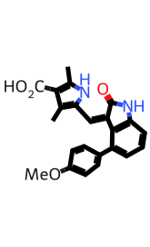 COc1ccc(-c2cccc3c2C(=Cc2[nH]c(C)c(C(=O)O)c2C)C(=O)N3)cc1